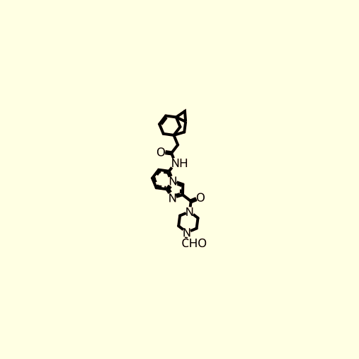 O=CN1CCN(C(=O)c2cn3c(NC(=O)CC45CC=CC6(CC6C4)C5)cccc3n2)CC1